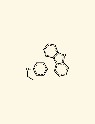 CCO.c1ccc2c(c1)oc1ccccc12.c1ccccc1